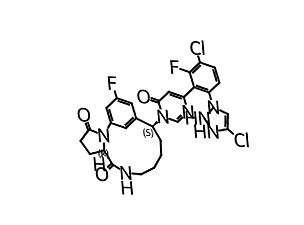 O=C1NCCCC[C@H](n2cnc(-c3c(N4C=C(Cl)NN4)ccc(Cl)c3F)cc2=O)c2cc(F)cc(c2)N2C(=O)CC[C@H]12